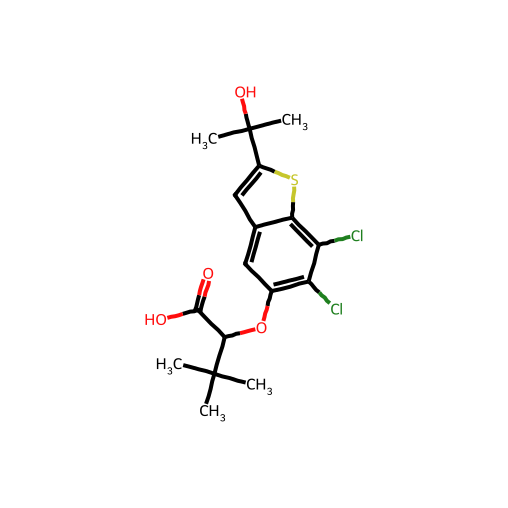 CC(C)(O)c1cc2cc(OC(C(=O)O)C(C)(C)C)c(Cl)c(Cl)c2s1